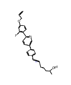 C=CCOc1ccc(-c2ccc(-c3ccc(/C=C/CCCC(C)O)cc3)cn2)c(F)c1